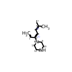 C=C/C(=C\C=C(/C)I)N1CCNCC1